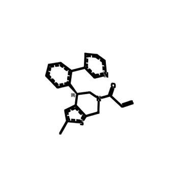 C=CC(=O)N1Cc2sc(C)cc2[C@@H](c2ccccc2-c2cccnc2)C1